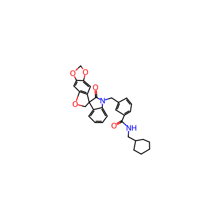 O=C(NCC1CCCCC1)c1cccc(CN2C(=O)C3(COc4cc5c(cc43)OCO5)c3ccccc32)c1